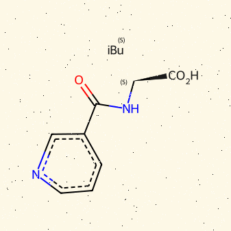 CC[C@H](C)[C@H](NC(=O)c1cccnc1)C(=O)O